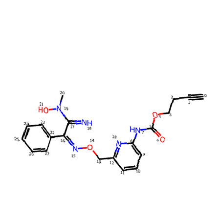 C#CCCOC(=O)Nc1cccc(CO/N=C(\C(=N)N(C)O)c2ccccc2)n1